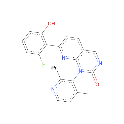 Cc1ccnc(C(C)C)c1-n1c(=O)ncc2ccc(-c3c(O)cccc3F)nc21